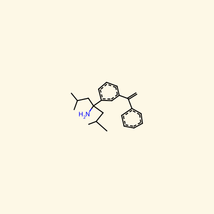 C=C(c1ccccc1)c1cccc(C(N)(CC(C)C)CC(C)C)c1